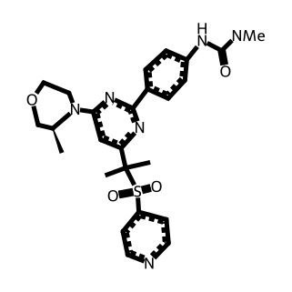 CNC(=O)Nc1ccc(-c2nc(N3CCOC[C@@H]3C)cc(C(C)(C)S(=O)(=O)c3ccncc3)n2)cc1